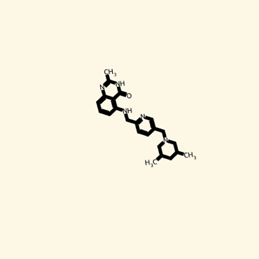 Cc1nc2cccc(NCc3ccc(CN4CC(C)CC(C)C4)cn3)c2c(=O)[nH]1